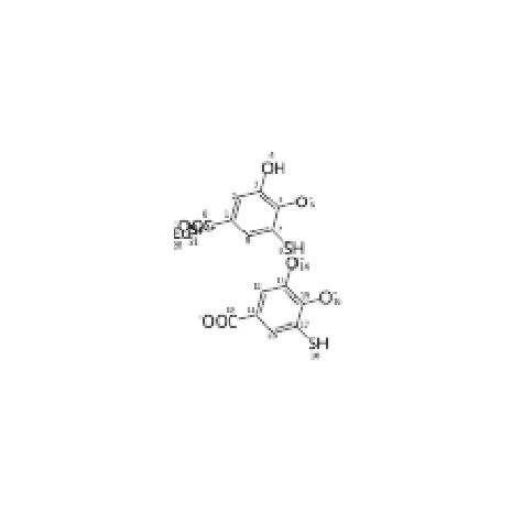 O=C([O-])c1cc(O)c([O-])c(S)c1.O=C([O-])c1cc([O-])c([O-])c(S)c1.[Eu+3].[Sr+2]